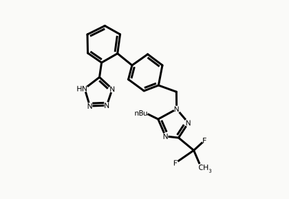 CCCCc1nc(C(C)(F)F)nn1Cc1ccc(-c2ccccc2-c2nnn[nH]2)cc1